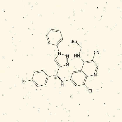 CC(C)(C)CNc1c(C#N)cnc2c(Cl)cc(N[C@@H](c3ccc(F)cc3)c3cn(-c4ccccc4)nn3)cc12